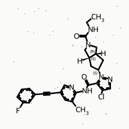 CCNC(=O)N1C[C@H]2C[C@H](n3ncc(Cl)c3C(=O)Nc3ncc(C#Cc4cccc(F)c4)cc3C)C[C@H]2C1